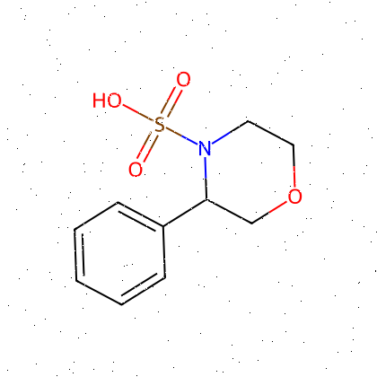 O=S(=O)(O)N1CCOCC1c1ccccc1